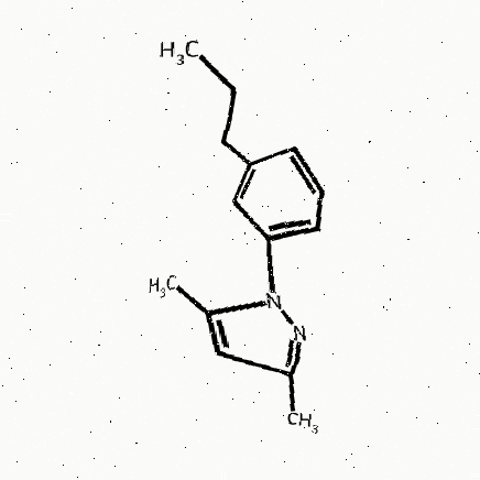 CCCc1cccc(-n2nc(C)cc2C)c1